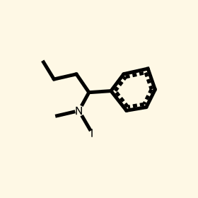 CCCC(c1ccccc1)N(C)I